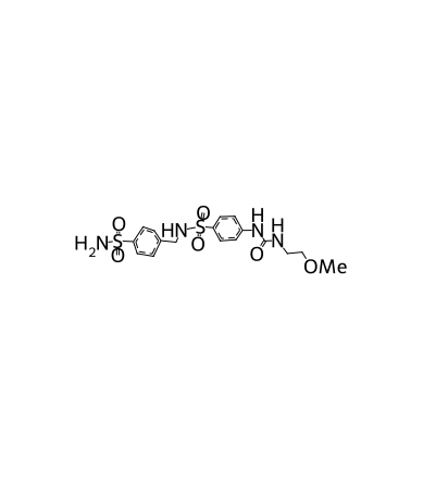 COCCNC(=O)Nc1ccc(S(=O)(=O)NCc2ccc(S(N)(=O)=O)cc2)cc1